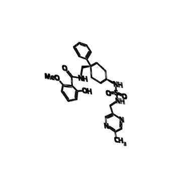 COc1cccc(O)c1C(=O)NC[C@]1(c2ccccc2)CC[C@H](NS(=O)(=O)NCc2cnc(C)cn2)CC1